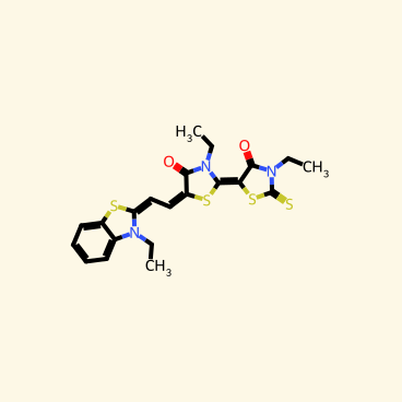 CCN1C(=O)/C(=c2/sc(=CC=C3Sc4ccccc4N3CC)c(=O)n2CC)SC1=S